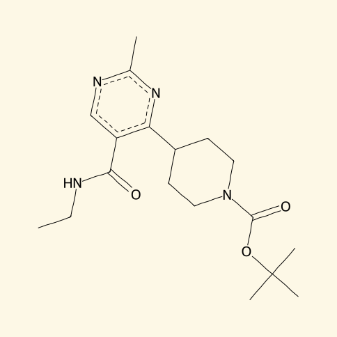 CCNC(=O)c1cnc(C)nc1C1CCN(C(=O)OC(C)(C)C)CC1